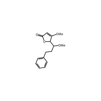 COC1=CC(=O)OC1C(CCc1ccccc1)OC